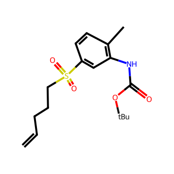 C=CCCCS(=O)(=O)c1ccc(C)c(NC(=O)OC(C)(C)C)c1